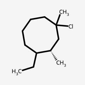 CCC1CCCCC(C)(Cl)C[C@@H]1C